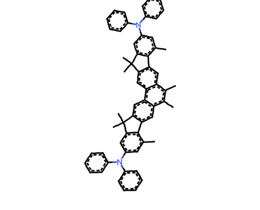 Cc1cc(N(c2ccccc2)c2ccccc2)cc2c1-c1cc3c(C)c(C)c4cc5c(cc4c3cc1C2(C)C)C(C)(C)c1cc(N(c2ccccc2)c2ccccc2)cc(C)c1-5